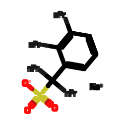 CCCc1cccc(C(CCC)(CCC)S(=O)(=O)[O-])c1CCC.[Na+]